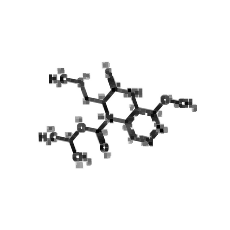 COc1nncc2c1NC(=S)C(CSC)N2C(=O)OC(C)C